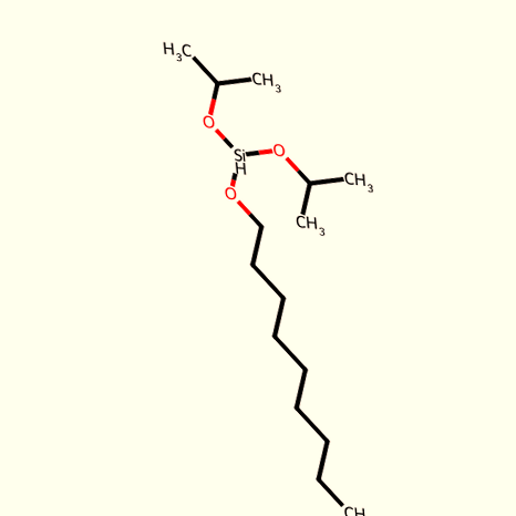 CCCCCCCCCO[SiH](OC(C)C)OC(C)C